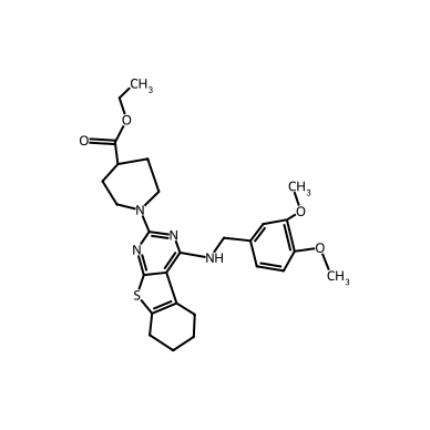 CCOC(=O)C1CCN(c2nc(NCc3ccc(OC)c(OC)c3)c3c4c(sc3n2)CCCC4)CC1